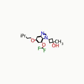 CC(C)CCOc1cc(OC(F)F)c2c(c1)ncn2[C@H]1C[C@@](C)(O)C1